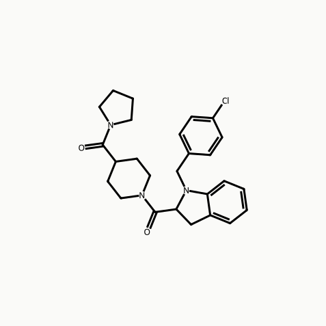 O=C(C1CCN(C(=O)C2Cc3ccccc3N2Cc2ccc(Cl)cc2)CC1)N1CCCC1